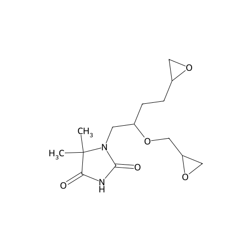 CC1(C)C(=O)NC(=O)N1CC(CCC1CO1)OCC1CO1